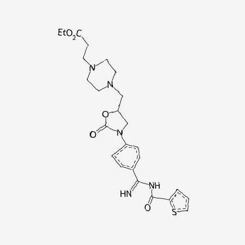 CCOC(=O)CCN1CCN(CC2CN(c3ccc(C(=N)NC(=O)c4cccs4)cc3)C(=O)O2)CC1